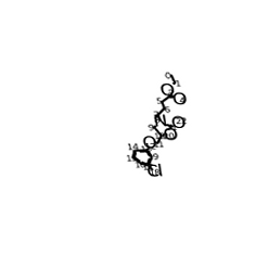 CCOC(=O)CCCN1CC(COc2cccc(Cl)c2)OC1=O